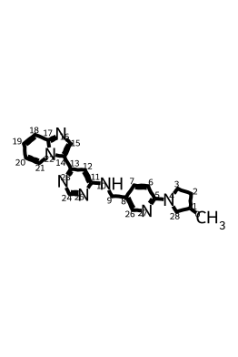 CC1CCN(c2ccc(CNc3cc(-c4cnc5ccccn45)ncn3)cn2)C1